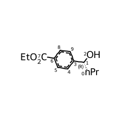 CCC[C@@H](O)c1ccc(C(=O)OCC)cc1